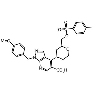 COc1ccc(Cn2ncc3c(N4CCOC(COS(=O)(=O)c5ccc(C)cc5)C4)c(C(=O)O)cnc32)cc1